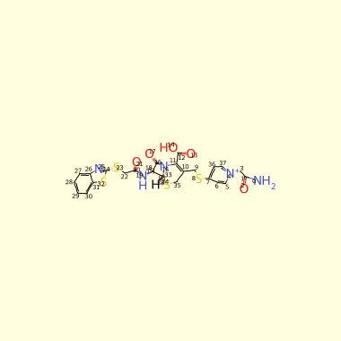 NC(=O)C[n+]1ccc(SCC2=C(C(=O)O)N3C(=O)[C@H](NC(=O)CSc4nc5ccccc5s4)[C@H]3SC2)cc1